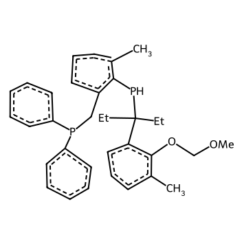 CCC(CC)(Pc1c(C)cccc1CP(c1ccccc1)c1ccccc1)c1cccc(C)c1OCOC